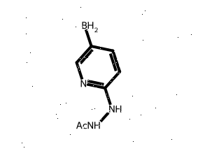 Bc1ccc(NNC(C)=O)nc1